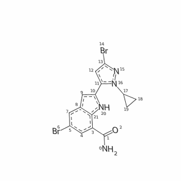 NC(=O)c1cc(Br)cc2cc(-c3cc(Br)nn3C3CC3)[nH]c12